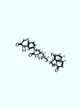 O=C1CSc2ccc(N3C[C@@H](CNCC[C@H]4Cn5c(=O)ccc6ccc(F)c4c65)OC3=O)cc2N1